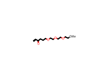 C=CC(=O)CCCOCCOCCOCCOC